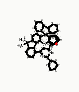 CC1(C)c2cccc(-c3cc(-c4ccccc4)nc(-c4ccccc4)n3)c2-c2c1ccc1c2Oc2ccccc2C12c1ccccc1-c1ccccc12